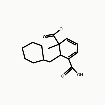 CC1(C(=O)O)C=CC=C(C(=O)O)C1CC1CCCCC1